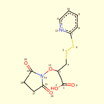 O=C(O)C(CSSc1ccccn1)ON1C(=O)CCC1=O